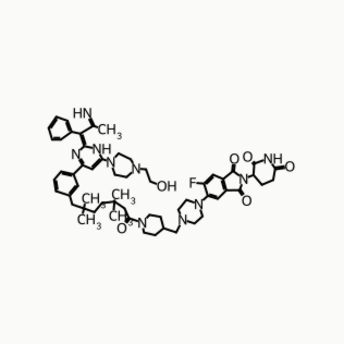 CC(=N)/C(=C1/N=C(c2cccc(CC(C)(C)CCC(C)(C)CC(=O)N3CCC(CN4CCN(c5cc6c(cc5F)C(=O)N(C5CCC(=O)NC5=O)C6=O)CC4)CC3)c2)C=C(N2CCN(CCO)CC2)N1)c1ccccc1